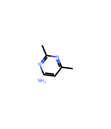 Cc1ccnc(C)n1.N